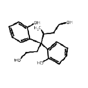 CC(CCO)C(CCO)(c1ccccc1O)c1ccccc1O